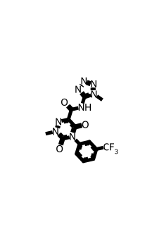 Cn1nnnc1NC(=O)c1nn(C)c(=O)n(-c2cccc(C(F)(F)F)c2)c1=O